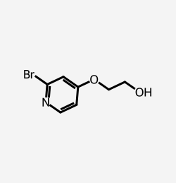 OCCOc1ccnc(Br)c1